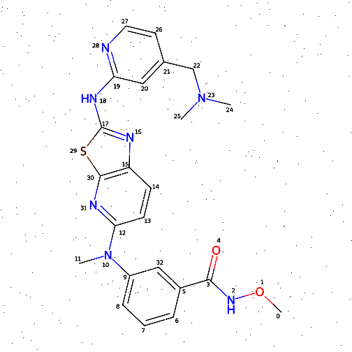 CONC(=O)c1cccc(N(C)c2ccc3nc(Nc4cc(CN(C)C)ccn4)sc3n2)c1